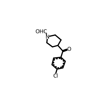 O=CN1CCC(C(=O)c2ccc(Cl)cc2)CC1